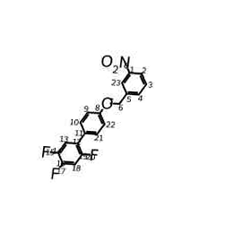 O=[N+]([O-])c1cccc(COc2ccc(-c3cc(F)c(F)cc3F)cc2)c1